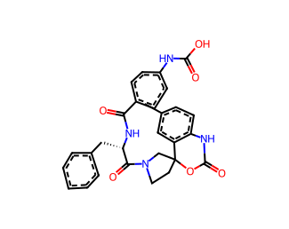 Cc1ccc2c(c1)C1(CCN(C(=O)[C@H](Cc3ccccc3)NC(=O)c3ccc(NC(=O)O)cc3)C1)OC(=O)N2